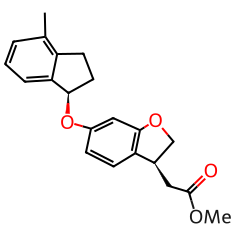 COC(=O)C[C@@H]1COc2cc(O[C@@H]3CCc4c(C)cccc43)ccc21